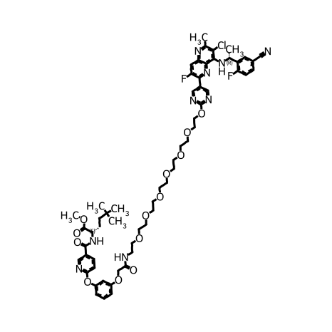 COC(=O)[C@H](CCC(C)(C)C)NC(=O)c1ccc(Oc2cccc(OCC(=O)NCCOCCOCCOCCOCCOCCOCCOc3ncc(-c4nc5c(N[C@H](C)c6cc(C#N)ccc6F)c(Cl)c(C)nc5cc4F)cn3)c2)nc1